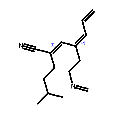 C=C/C=C(\C=C(\C#N)CCC(C)C)CCN=C